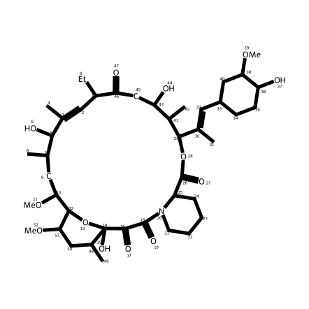 CCC1/C=C(\C)C(O)C(C)CC(OC)C2OC(O)(C(=O)C(=O)N3CCCCC3C(=O)OC(C(C)=CC3CCC(O)C(OC)C3)C(C)C(O)CC1=O)C(C)CC2OC